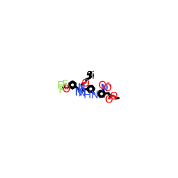 CCOC(=O)Cc1ccc(Nc2cccc(-c3nnc(-c4cccc(OC(F)(F)F)c4)n3COCC[Si](C)(C)C)c2)cc1[N+](=O)[O-]